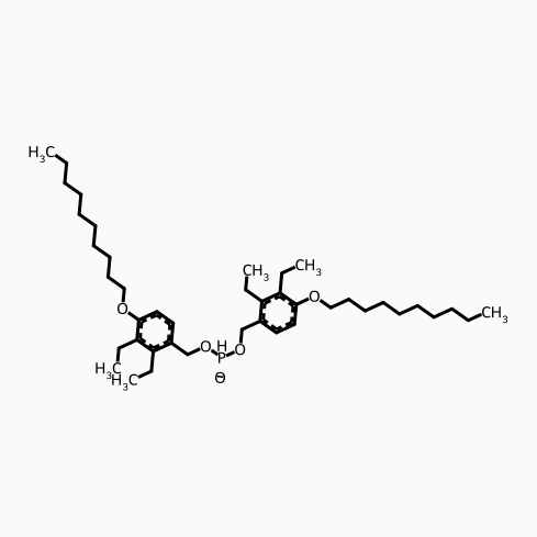 CCCCCCCCCCOc1ccc(CO[PH](=O)OCc2ccc(OCCCCCCCCCC)c(CC)c2CC)c(CC)c1CC